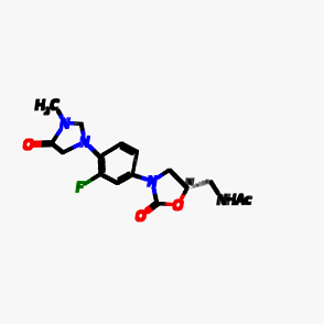 CC(=O)NC[C@H]1CN(c2ccc(N3CC(=O)N(C)C3)c(F)c2)C(=O)O1